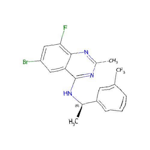 Cc1nc(N[C@H](C)c2cccc(C(F)(F)F)c2)c2cc(Br)cc(F)c2n1